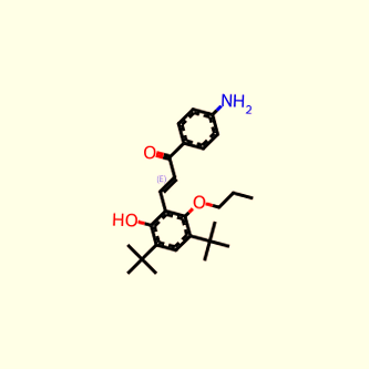 CCCOc1c(C(C)(C)C)cc(C(C)(C)C)c(O)c1/C=C/C(=O)c1ccc(N)cc1